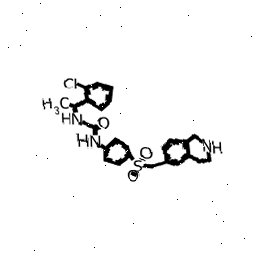 CC(NC(=O)Nc1ccc(S(=O)(=O)Cc2ccc3c(c2)CCNC3)cc1)c1ccccc1Cl